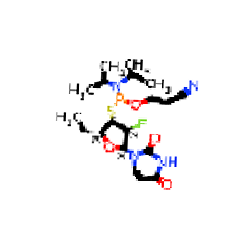 CC[C@H]1O[C@@H](n2ccc(=O)[nH]c2=O)[C@H](F)[C@@H]1SP(OCCC#N)N(C(C)C)C(C)C